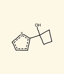 OC1(c2cccs2)CCC1